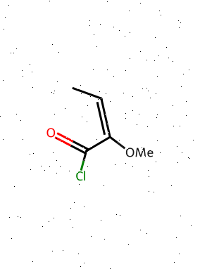 CC=C(OC)C(=O)Cl